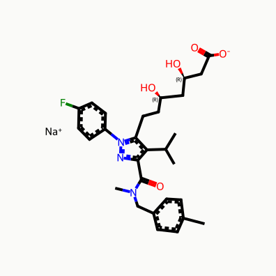 Cc1ccc(CN(C)C(=O)c2nn(-c3ccc(F)cc3)c(CC[C@@H](O)C[C@@H](O)CC(=O)[O-])c2C(C)C)cc1.[Na+]